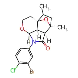 CC1[CH][C@]2(C)O[C@]13CCO[C@H]1[C@@H]3[C@@H]2C(=O)N1c1ccc(Cl)c(Br)c1